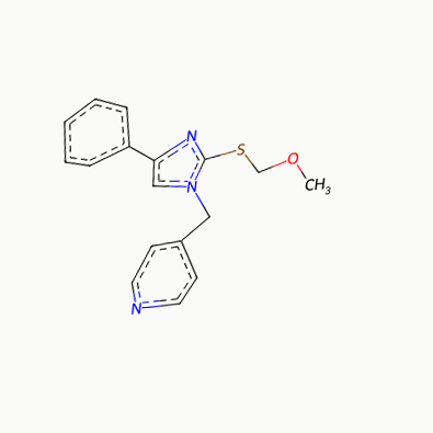 COCSc1nc(-c2ccccc2)cn1Cc1ccncc1